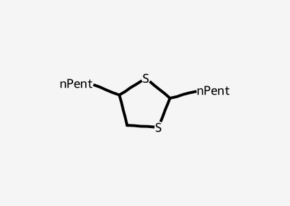 CCCCCC1CSC(CCCCC)S1